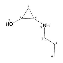 CCCNC1CC1O